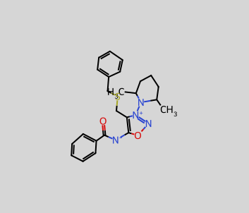 CC1CCCC(C)N1[n+]1noc([N-]C(=O)c2ccccc2)c1CSCc1ccccc1